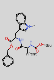 CCCCC[C@H](NC(=O)OC(C)(C)C)C(=O)N[C@H](Cc1cn(C)c2ccccc12)C(=O)OCc1ccccc1